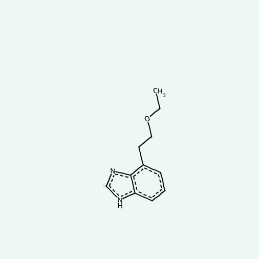 CCOCCc1cccc2[nH][c]nc12